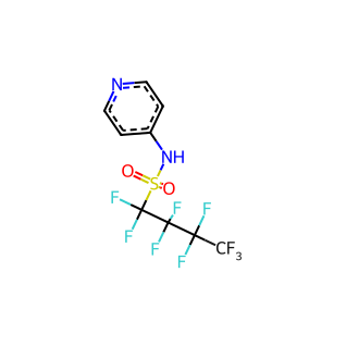 O=S(=O)(Nc1ccncc1)C(F)(F)C(F)(F)C(F)(F)C(F)(F)F